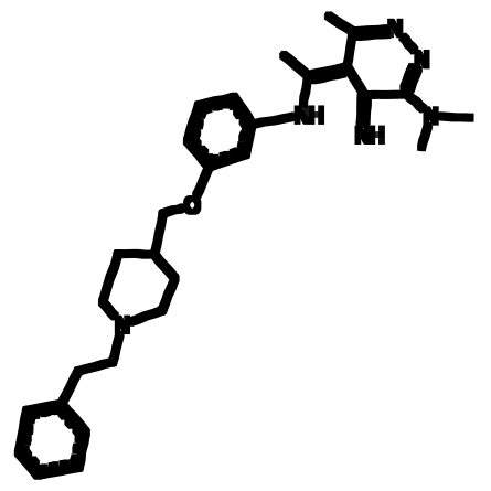 CC1=NN=C(N(C)C)C(=N)/C1=C(/C)Nc1cccc(OCC2CCN(CCc3ccccc3)CC2)c1